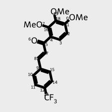 COc1ccc(C(=O)/C=C/c2ccc(C(F)(F)F)cc2)c(OC)c1OC